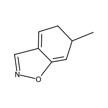 CC1C=c2oncc2=CC1